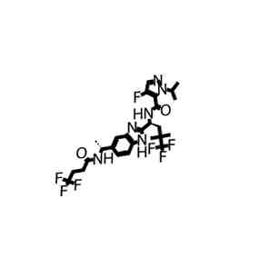 CC(C)n1ncc(F)c1C(=O)N[C@@H](CC(C)(C)C(F)(F)F)c1nc2cc([C@@H](C)NC(=O)CCC(F)(F)F)ccc2[nH]1